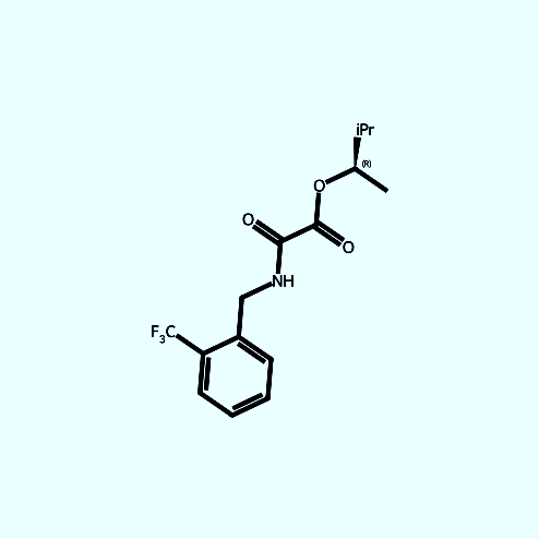 CC(C)[C@@H](C)OC(=O)C(=O)NCc1ccccc1C(F)(F)F